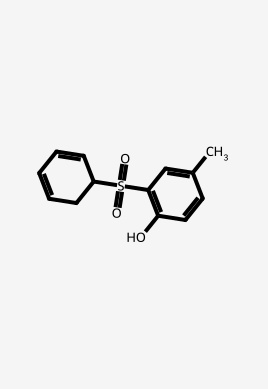 Cc1ccc(O)c(S(=O)(=O)C2C=CC=CC2)c1